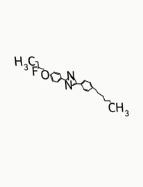 CCCCCCc1ccc(-c2cnc(-c3ccc(OCC(F)CC)cc3)nc2)cc1